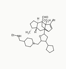 CCNCC1CCN(CC2OC(C34C[C@@H]5[C@H](C)CC[C@H]5C5(C=O)CC3C=C(C(C)C)C45C(=O)O)CC2C2CCCC2)CC1